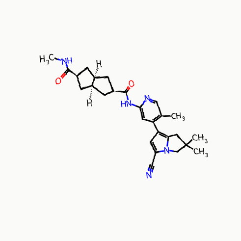 CNC(=O)[C@@H]1C[C@@H]2C[C@H](C(=O)Nc3cc(-c4cc(C#N)n5c4CC(C)(C)C5)c(C)cn3)C[C@@H]2C1